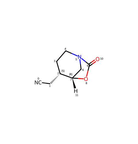 N#CC[C@@H]1CCN2C[C@@H]1OC2=O